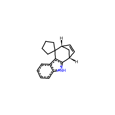 C1=C[C@H]2C[C@@H]1C1(CCCC1)c1c2[nH]c2ccccc12